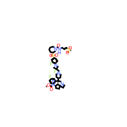 COC(=O)N[C@H]1CCC[C@@H]1C(CN1CCC1)(c1cccc(F)c1)C1CCN(CC2(F)CN(c3ccc(S(=O)(=O)[C@@H]4CCCCN(C(=O)NC/C=C/S(C)(=O)=O)C4)cc3F)C2)CC1